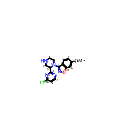 COc1ccc2c(N3CCNCC3c3nccc(Cl)n3)noc2c1